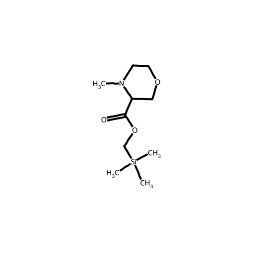 CN1CCOCC1C(=O)OC[Si](C)(C)C